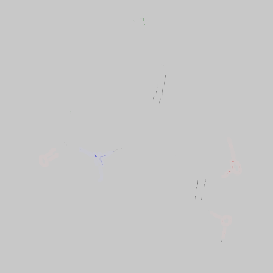 COc1cc2c(cc1OC)C(c1ccc(Cl)cc1)N(C(=O)Cl)CC2